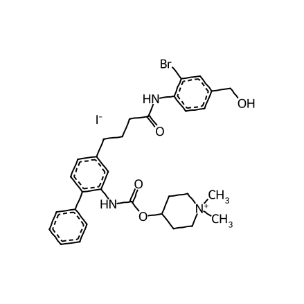 C[N+]1(C)CCC(OC(=O)Nc2cc(CCCC(=O)Nc3ccc(CO)cc3Br)ccc2-c2ccccc2)CC1.[I-]